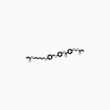 C=CC(=O)OCCCCCCOc1ccc(COc2ccc(OC(=O)c3ccc(OCOC(=O)C=C)cc3)cc2)cc1